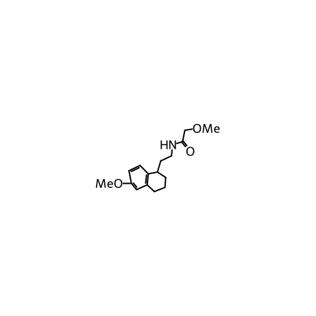 COCC(=O)NCCC1CCCc2cc(OC)ccc21